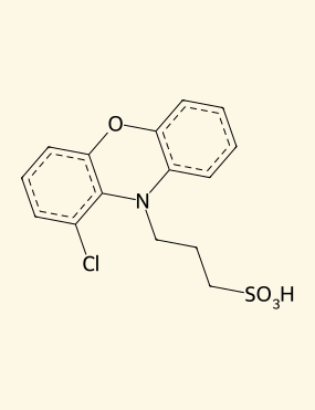 O=S(=O)(O)CCCN1c2ccccc2Oc2cccc(Cl)c21